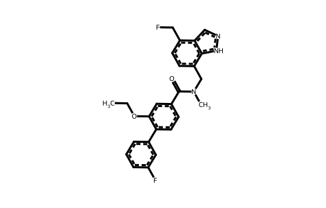 CCOc1cc(C(=O)N(C)Cc2ccc(CF)c3cn[nH]c23)ccc1-c1cccc(F)c1